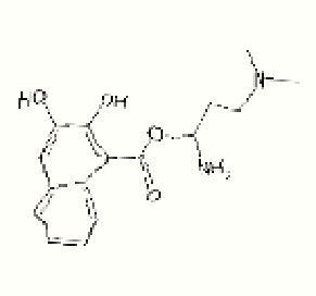 CN(C)CCC(N)OC(=O)c1c(O)c(O)cc2ccccc12